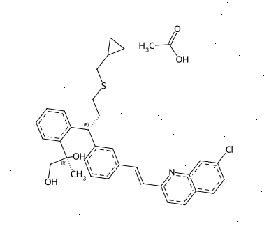 CC(=O)O.C[C@](O)(CO)c1ccccc1[C@H](CCSCC1CC1)c1cccc(C=Cc2ccc3ccc(Cl)cc3n2)c1